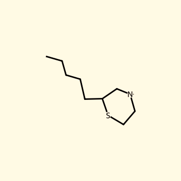 CCCCCC1C[N]CCS1